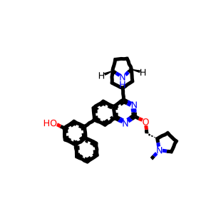 CN1CCC[C@H]1COc1nc(C2C[C@H]3CC[C@@H](C2)N3)c2ccc(-c3cc(O)cc4ccccc34)cc2n1